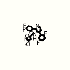 COc1cc(C(=O)Nc2c(-c3cc(F)ccc3F)ccnc2C2CCC(F)(F)CC2)on1